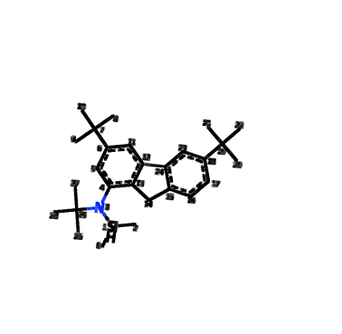 C[SiH](C)N(c1cc(C(C)(C)C)cc2c1Cc1ccc(C(C)(C)C)cc1-2)C(C)(C)C